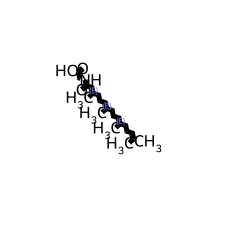 CC(C)=CCC/C(C)=C/CC/C(C)=C/CC/C(C)=C/C(=O)NCC(=O)O